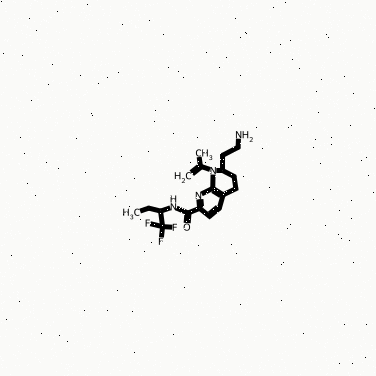 C=C(C)N1c2nc(C(=O)NC(CC)C(F)(F)F)ccc2CCC1CCN